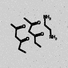 CCC(=O)CC(C)=O.CCC(=O)CC(C)=O.NCCN